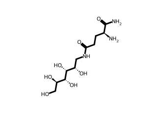 NC(=O)[C@@H](N)CCC(=O)NC[C@H](O)[C@@H](O)[C@H](O)[C@H](O)CO